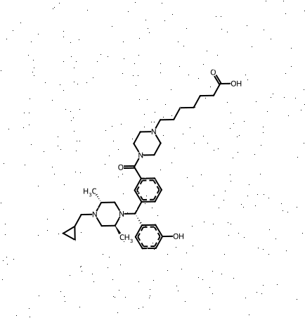 C[C@@H]1CN([C@@H](c2cccc(O)c2)c2cccc(C(=O)N3CCN(CCCCCCC(=O)O)CC3)c2)[C@@H](C)CN1CC1CC1